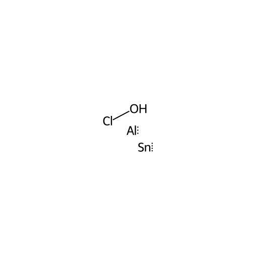 OCl.[Al].[Sn]